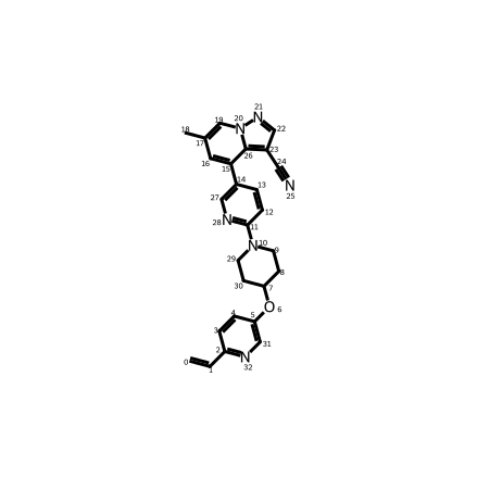 C=Cc1ccc(OC2CCN(c3ccc(-c4cc(C)cn5ncc(C#N)c45)cn3)CC2)cn1